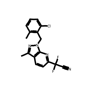 Cc1cccc(Cl)c1Cn1nc(C)c2ccc(C(F)(F)C#N)nc21